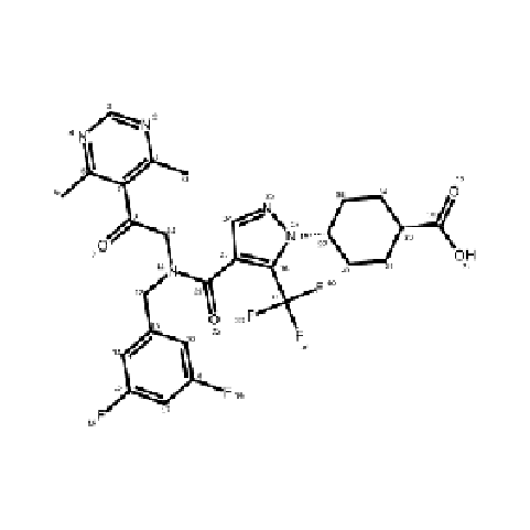 Cc1ncnc(C)c1C(=O)CN(Cc1cc(F)cc(F)c1)C(=O)c1cnn([C@H]2CC[C@H](C(=O)O)CC2)c1C(F)(F)F